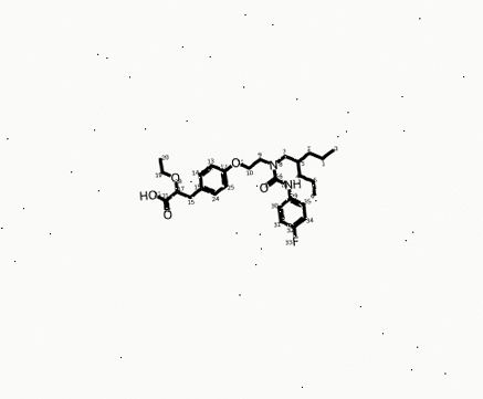 CCCC(CCC)CN(CCOc1ccc(CC(OCC)C(=O)O)cc1)C(=O)Nc1ccc(F)cc1